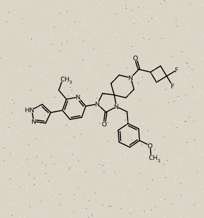 CCc1nc(N2CC3(CCN(C(=O)C4CC(F)(F)C4)CC3)N(Cc3cccc(OC)c3)C2=O)ccc1-c1cn[nH]c1